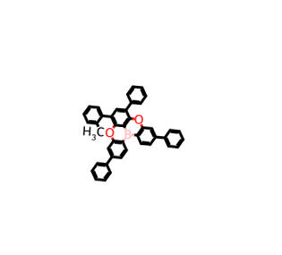 Cc1ccccc1-c1cc(-c2ccccc2)c2c3c1Oc1cc(-c4ccccc4)ccc1B3c1ccc(-c3ccccc3)cc1O2